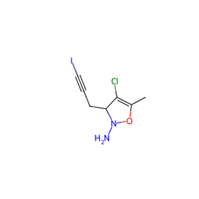 CC1=C(Cl)C(CC#CI)N(N)O1